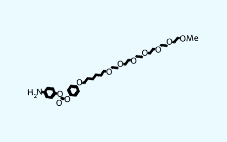 COCCOCCOCCOCCOCCOCCOCCCCCCOc1ccc(OC(=O)Oc2ccc(N)cc2)cc1